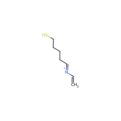 C=C/N=C/CCCCS